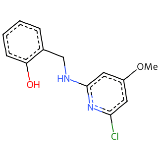 COc1cc(Cl)nc(NCc2ccccc2O)c1